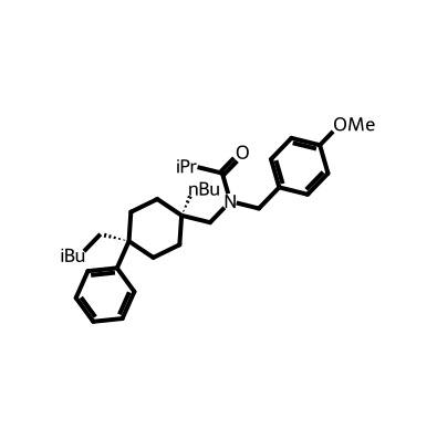 CCCC[C@]1(CN(Cc2ccc(OC)cc2)C(=O)C(C)C)CC[C@@](CC(C)CC)(c2ccccc2)CC1